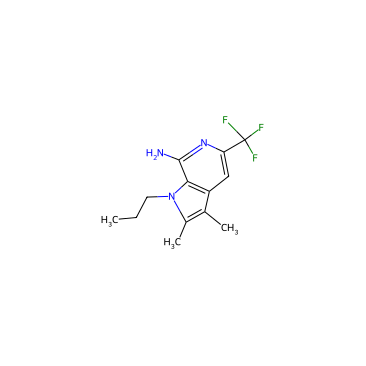 CCCn1c(C)c(C)c2cc(C(F)(F)F)nc(N)c21